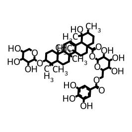 CC1CCC2(C(=O)OC3OC(COC(=O)c4cc(O)c(O)c(O)c4)C(O)C(O)C3O)CCC3(C)C(=CCC4C5(C)CCC(OC6OCC(O)C(O)C6O)C(C)(C)C5CCC43C)C2C1(C)O